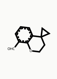 O=Cc1cccc2c1OCCC21CC1